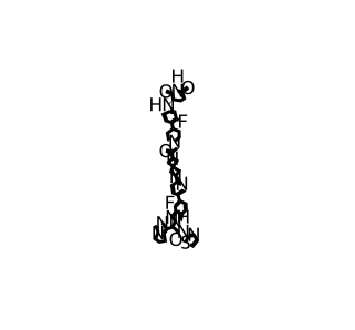 O=C1CC[C@H](Nc2ccc(C3CCN(CC(=O)N4CC5(C4)CN(c4ccc(-c6ccc7cn(C(C(=O)Nc8nccs8)c8ncn9c8CCC9)nc7c6F)cn4)C5)CC3)c(F)c2)C(=O)N1